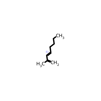 C=C(C)/C=C/CCCC